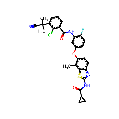 Cc1c(Oc2ccc(F)c(NC(=O)c3cccc(C(C)(C)C#N)c3Cl)c2)ccc2nc(NC(=O)C3CC3)sc12